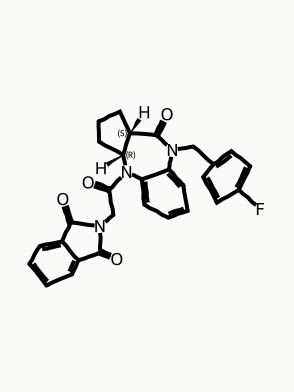 O=C1c2ccccc2C(=O)N1CC(=O)N1c2ccccc2N(Cc2ccc(F)cc2)C(=O)[C@H]2CCC[C@H]21